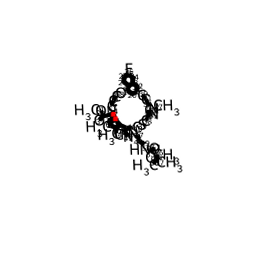 COC(=O)c1c(C)c2c3c(Cl)ccc2n1CCCOc1cc(cc2cc(F)ccc12)CCc1cc(nn1C)CSCc1c-3c(C)nn1CCCNC(=O)OC(C)(C)C